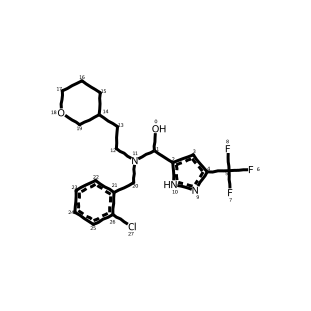 OC(c1cc(C(F)(F)F)n[nH]1)N(CCC1CCCOC1)Cc1ccccc1Cl